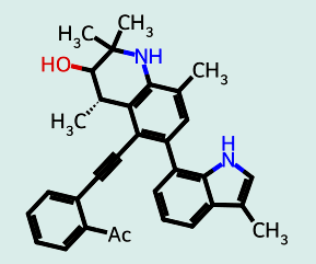 CC(=O)c1ccccc1C#Cc1c(-c2cccc3c(C)c[nH]c23)cc(C)c2c1[C@H](C)C(O)C(C)(C)N2